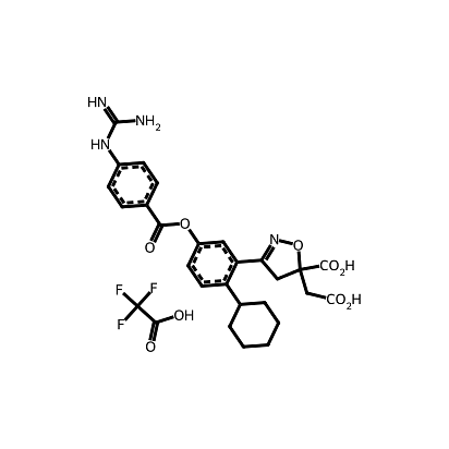 N=C(N)Nc1ccc(C(=O)Oc2ccc(C3CCCCC3)c(C3=NOC(CC(=O)O)(C(=O)O)C3)c2)cc1.O=C(O)C(F)(F)F